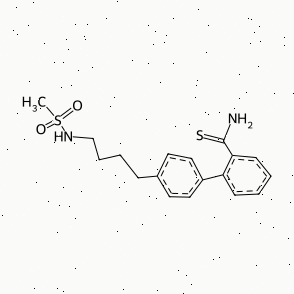 CS(=O)(=O)NCCCCc1ccc(-c2ccccc2C(N)=S)cc1